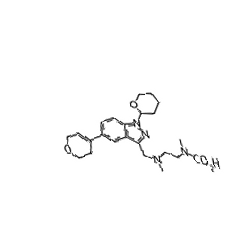 CN(CCN(C)C(=O)O)Cc1nn(C2CCCCO2)c2ccc(C3=CCOCC3)cc12